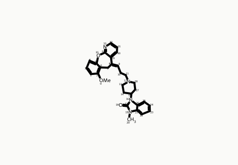 COc1cccc2c1CC(=CCCN1CCC(n3c(=O)n(C)c4ccccc43)CC1)c1cccnc1O2